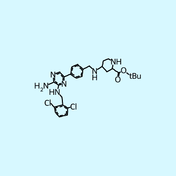 CC(C)(C)OC(=O)C1CC(NCc2ccc(-c3cnc(N)c(NCc4c(Cl)cccc4Cl)n3)cc2)CCN1